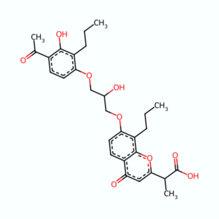 CCCc1c(OCC(O)COc2ccc3c(=O)cc(C(C)C(=O)O)oc3c2CCC)ccc(C(C)=O)c1O